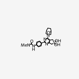 CNC(=O)Nc1ccc(-c2nc3c(c(N4CC5CCC(C4)O5)n2)CS(O)(O)C3)cc1